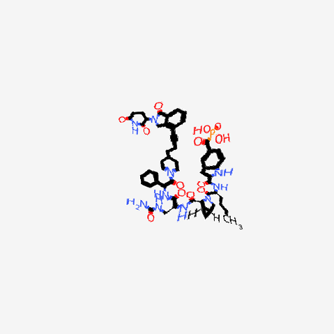 CCCC[C@H](NC(=O)c1cc2cc(C(=O)P(=O)(O)O)ccc2[nH]1)C(=O)N1C[C@H]2C[C@H]2[C@H]1C(=O)N[C@@H](CNC(N)=O)C(=O)N[C@H](C(=O)N1CCC(CCC#Cc2cccc3c2CN(C2CCC(=O)NC2=O)C3=O)CC1)c1ccccc1